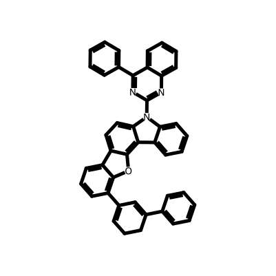 C1=C(c2ccccc2)CCC=C1c1cccc2c1oc1c2ccc2c1c1ccccc1n2-c1nc(-c2ccccc2)c2ccccc2n1